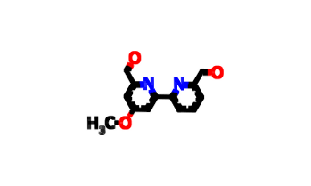 COc1cc(C=O)nc(-c2cccc(C=O)n2)c1